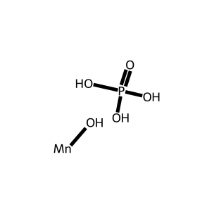 O=P(O)(O)O.[OH][Mn]